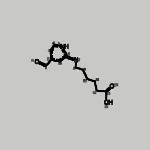 O=Cc1cc[nH]c(=NCCCCCC(=O)O)c1